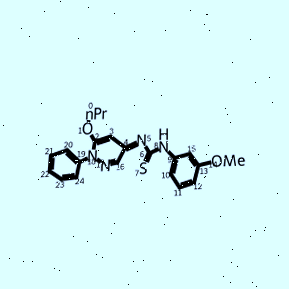 CCCOc1cc(=NC(=S)Nc2cccc(OC)c2)cnn1-c1ccccc1